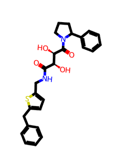 O=C(NCc1ccc(Cc2ccccc2)s1)[C@H](O)[C@@H](O)C(=O)N1CCCC1c1ccccc1